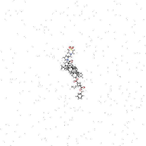 C[C@@H]1[C@@H](C(=O)O[C@H]2CC[C@]3(C)[C@H]4CC[C@@H]5[C@H]6[C@H](C7(C)CC7)CC[C@]6(C(=O)N6CCC[C@H]6CN6CCS(=O)(=O)CC6)CC[C@@]5(C)[C@]4(C)CC[C@H]3C2(C)C)C[C@H]1C(=O)OCc1ccccc1